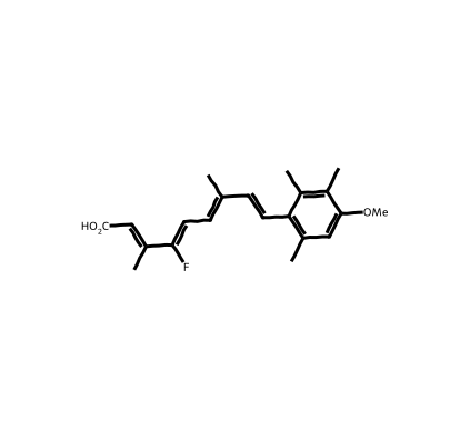 COc1cc(C)c(C=CC(C)=CC=C(F)C(C)=CC(=O)O)c(C)c1C